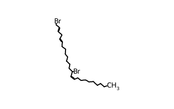 CCCCCCCCC/C=C\C(Br)CCCCCCCC=CCC=CCBr